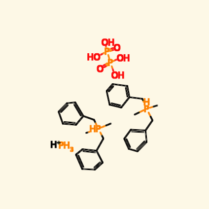 C[PH](C)(Cc1ccccc1)Cc1ccccc1.C[PH](C)(Cc1ccccc1)Cc1ccccc1.O=P(O)(O)P(=O)(O)O.P.[H+]